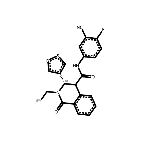 CC(C)CN1C(=O)c2ccccc2C(C(=O)Nc2ccc(F)c(C#N)c2)[C@H]1c1cnsc1